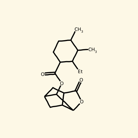 CCC1C(C(=O)OC2C3CC4C(=O)OC2C4C3)CCC(C)C1C